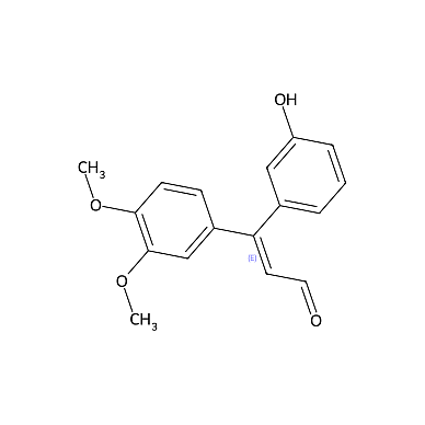 COc1ccc(/C(=C/C=O)c2cccc(O)c2)cc1OC